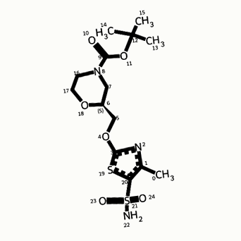 Cc1nc(OC[C@@H]2CN(C(=O)OC(C)(C)C)CCO2)sc1S(N)(=O)=O